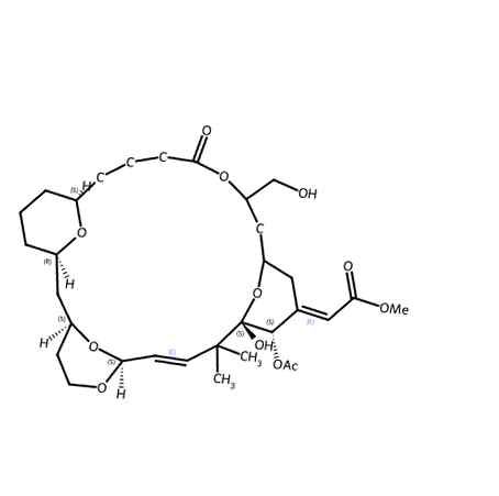 COC(=O)/C=C1\CC2CC(CO)OC(=O)CCC[C@@H]3CCC[C@H](C[C@@H]4CCO[C@H](/C=C/C(C)(C)[C@](O)(O2)[C@H]1OC(C)=O)O4)O3